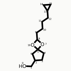 OCC1CCC2(C1)OC(CCCCC1CC1)O2